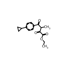 CCOC(=O)C(=O)C(C)C(=O)c1ccc(C2CC2)cc1